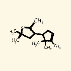 CC1=CCC(C2CC(C)(C)OC2C)C1(C)C